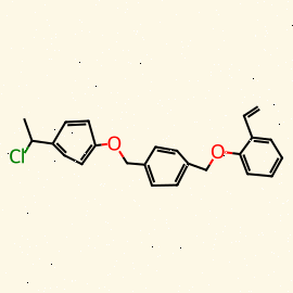 C=Cc1ccccc1OCc1ccc(COc2ccc(C(C)Cl)cc2)cc1